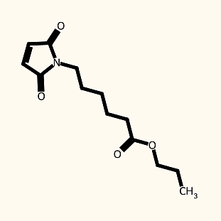 CCCOC(=O)CCCCCN1C(=O)C=CC1=O